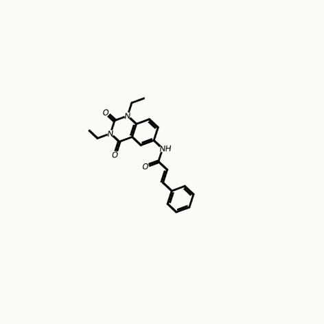 CCn1c(=O)c2cc(NC(=O)C=Cc3ccccc3)ccc2n(CC)c1=O